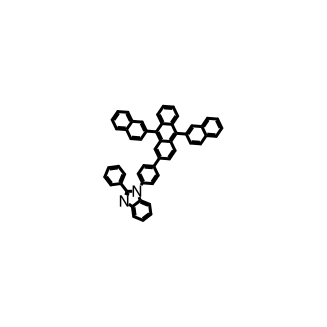 c1ccc(-c2nc3ccccc3n2-c2ccc(-c3ccc4c(-c5ccc6ccccc6c5)c5ccccc5c(-c5ccc6ccccc6c5)c4c3)cc2)cc1